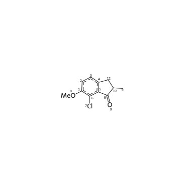 COc1ccc2c(c1Cl)C(=O)C(C)C2